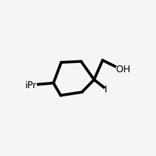 CC(C)C1CCC(I)(CO)CC1